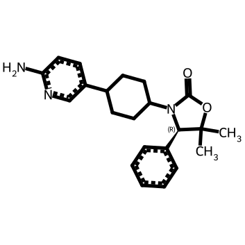 CC1(C)OC(=O)N(C2CCC(c3ccc(N)nc3)CC2)[C@@H]1c1ccccc1